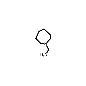 NCN1CCCCCC1